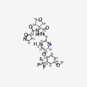 C=C(CNC(=O)C1(NC(=O)c2ccno2)CCOC1)/N=C\C(=C/N)Oc1ccc(OC)cc1C(F)(F)F